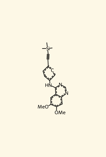 COc1cc2ncnc(Nc3ccc(C#C[Si](C)(C)C)cc3)c2cc1OC